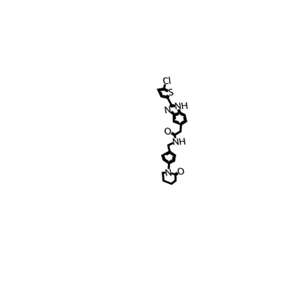 O=C(Cc1ccc2[nH]c(-c3ccc(Cl)s3)nc2c1)NCc1ccc(N2CCCCC2=O)cc1